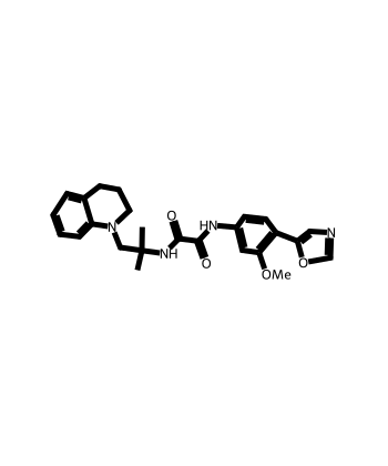 COc1cc(NC(=O)C(=O)NC(C)(C)CN2CCCc3ccccc32)ccc1-c1cnco1